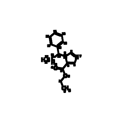 CCOC(=O)c1cncn1C(C)c1ccccc1.S